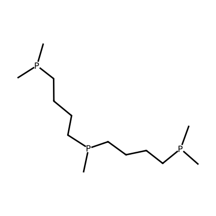 CP(C)CCCCP(C)CCCCP(C)C